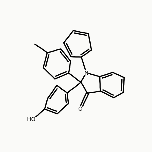 Cc1ccc(C2(c3ccc(O)cc3)C(=O)c3ccccc3N2c2ccccc2)cc1